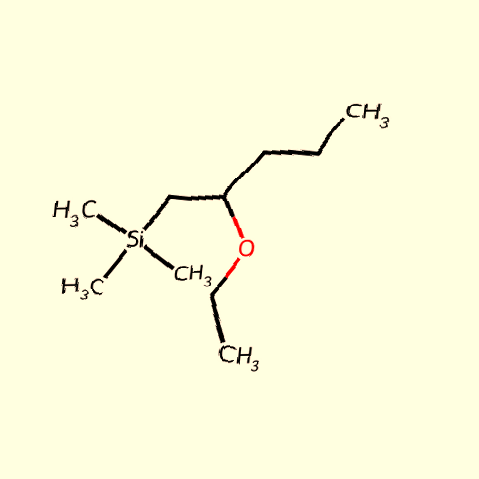 CCCC(C[Si](C)(C)C)OCC